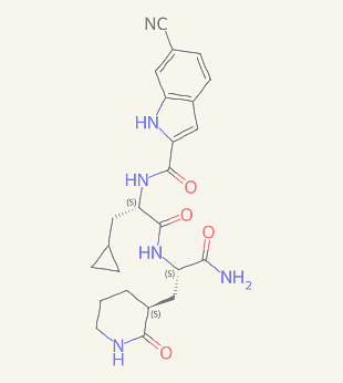 N#Cc1ccc2cc(C(=O)N[C@@H](CC3CC3)C(=O)N[C@@H](C[C@@H]3CCCNC3=O)C(N)=O)[nH]c2c1